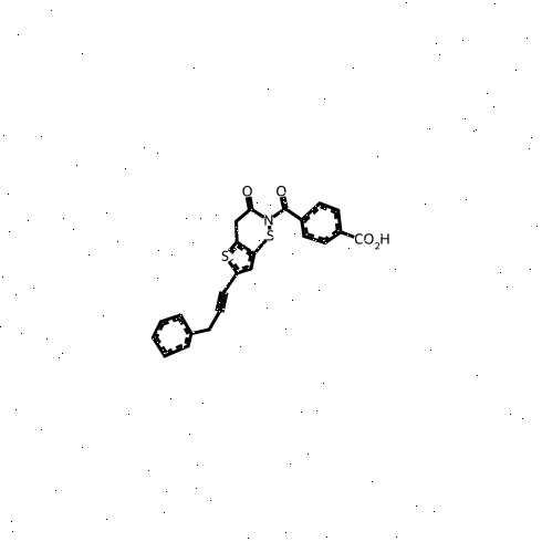 O=C(O)c1ccc(C(=O)N2Sc3cc(C#CCc4ccccc4)sc3CC2=O)cc1